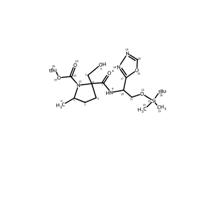 CC1CCC(CO)(C(=O)NC(CO[Si](C)(C)C(C)(C)C)c2nnco2)N1C(=O)OC(C)(C)C